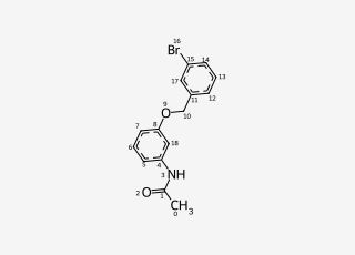 CC(=O)Nc1cccc(OCc2cccc(Br)c2)c1